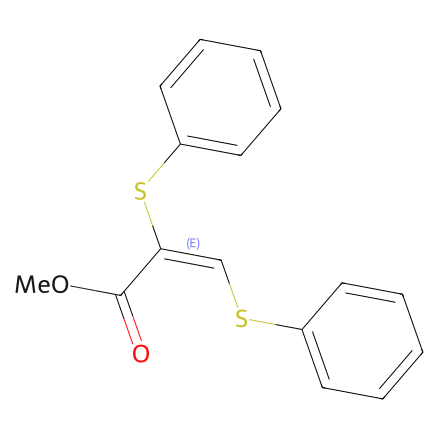 COC(=O)/C(=C\Sc1ccccc1)Sc1ccccc1